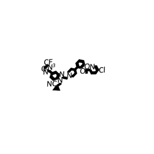 CC1(c2ccc(Cl)cn2)Oc2cccc(C3CCN(Cc4nc5cc(-c6noc(C(F)(F)F)n6)ccc5n4CC4(C#N)CC4)CC3)c2O1